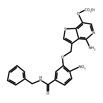 CCOC(=O)Oc1cnc(N)c2c(COc3cc(C(=O)NCc4ccccc4)ccc3[N+](=O)[O-])csc12